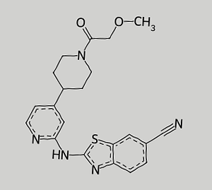 COCC(=O)N1CCC(c2ccnc(Nc3nc4ccc(C#N)cc4s3)c2)CC1